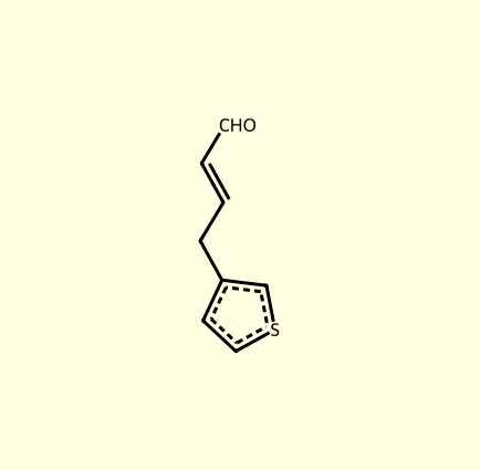 O=C/C=C/Cc1ccsc1